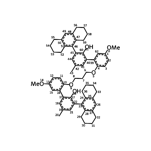 COc1ccc(OCCCOc2ccc(OC)cc2-c2cc(C)cc(-c3c4c(cc5c3CCCC5)CCCC4)c2O)c(-c2cc(C)cc(-c3c4c(cc5c3CCCC5)CCCC4)c2O)c1